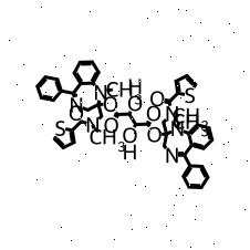 CN(CC1(OC(=O)C(O)C(O)C(=O)OC2(CN(C)C(=O)c3cccs3)CN=C(c3ccccc3)c3ccccc3N2C)CN=C(c2ccccc2)c2ccccc2N1C)C(=O)c1cccs1